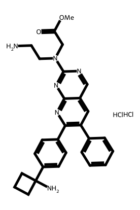 COC(=O)CN(CCN)c1ncc2cc(-c3ccccc3)c(-c3ccc(C4(N)CCC4)cc3)nc2n1.Cl.Cl